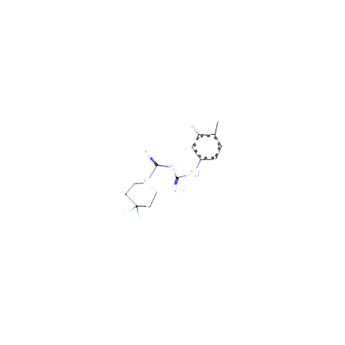 Cc1ccc(NC(=N)NC(=N)N2CCC(F)(F)CC2)cc1Cl